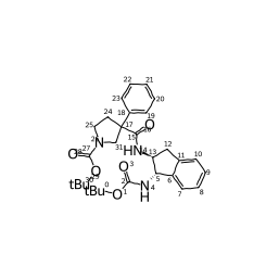 CC(C)(C)OC(=O)N[C@H]1c2ccccc2C[C@@H]1NC(=O)C1(c2ccccc2)CCN(C(=O)OC(C)(C)C)C1